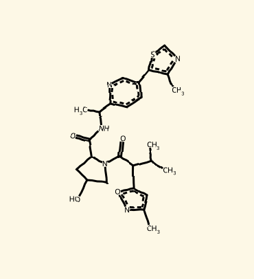 Cc1cc(C(C(=O)N2CC(O)CC2C(=O)NC(C)c2ccc(-c3scnc3C)cn2)C(C)C)on1